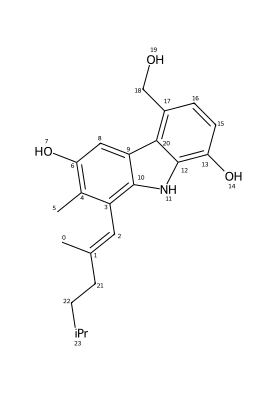 C/C(=C\c1c(C)c(O)cc2c1[nH]c1c(O)ccc(CO)c12)CCC(C)C